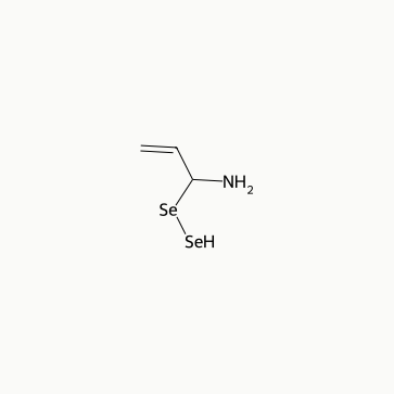 C=CC(N)[Se][SeH]